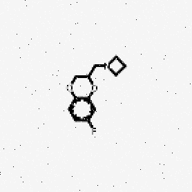 Fc1ccc2c(c1)OC(CN1CCC1)CO2